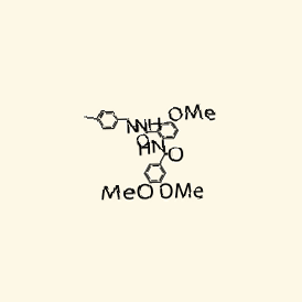 COc1ccc(NC(=O)c2ccc(OC)c(OC)c2)c(C(=O)N/N=C/c2ccc(C)cc2)c1